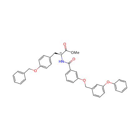 COC(=O)[C@H](Cc1ccc(OCc2ccccc2)cc1)NC(=O)c1cccc(OCc2cccc(Oc3ccccc3)c2)c1